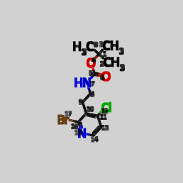 CC(C)(C)OC(=O)NCCc1c(Cl)ccnc1Br